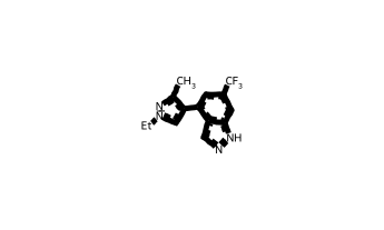 CCn1cc(-c2cc(C(F)(F)F)cc3[nH]ncc23)c(C)n1